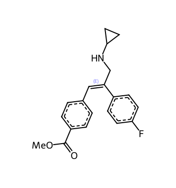 COC(=O)c1ccc(/C=C(/CNC2CC2)c2ccc(F)cc2)cc1